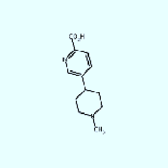 CN1CCC(c2ccc(C(=O)O)nc2)CC1